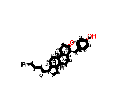 CC(C)CCC[C@@H](C)[C@H]1CC[C@H]2[C@@H]3CCC4[C@H](Cc5ccc(O)cc5)C(=O)CC[C@]4(C)[C@H]3CC[C@]12C